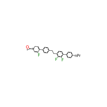 CCCc1ccc(-c2ccc(CCc3ccc(C4=CC[C@H](C5CO5)C=C4F)cc3)c(F)c2F)cc1